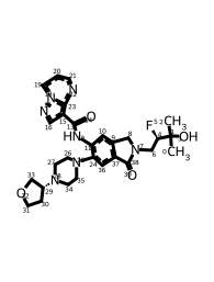 CC(C)(O)[C@H](F)CN1Cc2cc(NC(=O)c3cnn4cccnc34)c(N3CCN([C@@H]4CCOC4)CC3)cc2C1=O